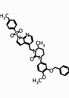 COc1ccc(N2CC[C@H](C)N(Cc3ccnc4c3ccn4S(=O)(=O)c3ccc(C)cc3)C2=O)cc1OCc1ccccc1